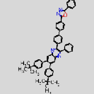 CC(C)(C)c1ccc(-c2cc3nc(-c4ccccc4)c(-c4ccc(-c5ccc(-c6nnc(-c7ccccc7)o6)cc5)cc4)nc3cc2-c2ccc(C(C)(C)C)cc2)cc1